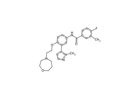 Cc1cc(C(=O)Nc2ccc(OCCN3CCCOCC3)c(-c3ccnn3C)c2)ccc1F